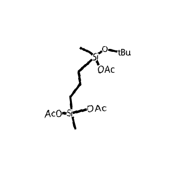 CC(=O)O[Si](C)(CCC[Si](C)(OC(C)=O)OC(C)(C)C)OC(C)=O